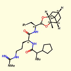 CCCCC(C(=O)N[C@@H](CCCNC(=N)NC)C(=O)N[C@@H](CC(C)C)B1O[C@@H]2C[C@@H]3C[C@@H](C3(C)C)[C@]2(C)O1)C1CCCC1